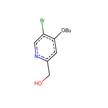 CC(C)COc1cc(CO)ncc1Br